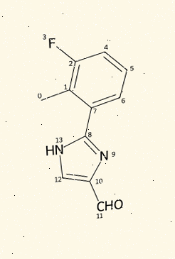 Cc1c(F)cccc1-c1nc(C=O)c[nH]1